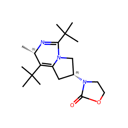 C[C@@H]1N=C(C(C)(C)C)N2C[C@H](N3CCOC3=O)CC2=C1C(C)(C)C